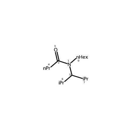 CCCCCCN(C(=O)CCC)C(C(C)C)C(C)C